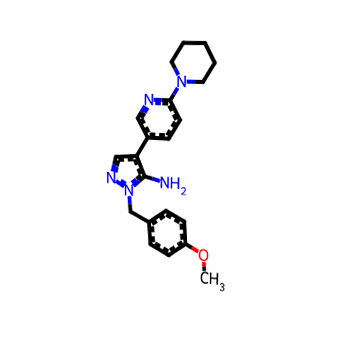 COc1ccc(Cn2ncc(-c3ccc(N4CCCCC4)nc3)c2N)cc1